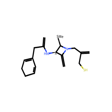 C=C(CS)CN1C(=C)[C@@H](NC(=C)CC2=CCCC=C2)C1SC